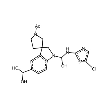 CC(=O)N1CCC2(C1)CN(C(O)Nc1ncc(Cl)s1)c1ccc(C(O)O)cc12